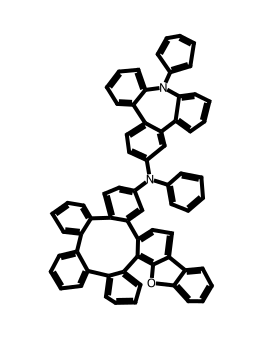 c1ccc(N(c2ccc3c(c2)-c2ccccc2N(c2ccccc2)c2ccccc2-3)c2ccc3c4ccccc4c4ccccc4c4ccccc4c4c(ccc5c6ccccc6oc54)c3c2)cc1